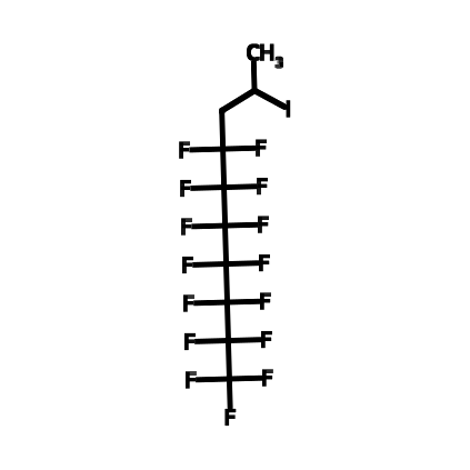 CC(I)CC(F)(F)C(F)(F)C(F)(F)C(F)(F)C(F)(F)C(F)(F)C(F)(F)F